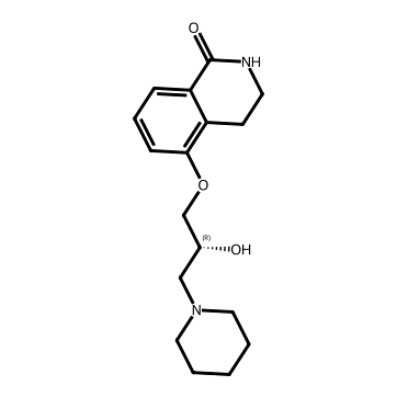 O=C1NCCc2c(OC[C@H](O)CN3CCCCC3)cccc21